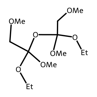 CCOC(COC)(OC)OC(COC)(OC)OCC